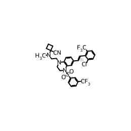 CN(CCN1CCN(S(=O)(=O)c2cccc(C(F)(F)F)c2)c2cc(/C=C/c3c(Cl)cccc3C(F)(F)F)ccc21)C1(C#N)CCC1